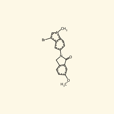 COc1ccc2c(c1)C(=O)N(c1ccc3c(c1)c(Br)cn3C)C2